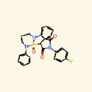 O=C1CC(P2(=O)N(c3ccccc3)CCCN2c2ccccc2)C(=O)N1c1ccc(F)cc1